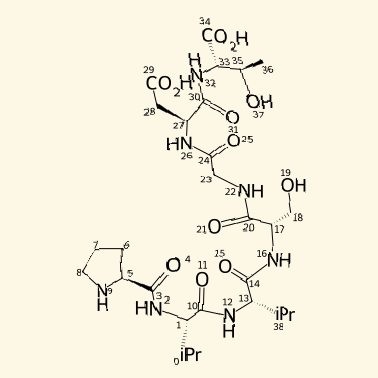 CC(C)[C@H](NC(=O)[C@@H]1CCCN1)C(=O)N[C@H](C(=O)N[C@@H](CO)C(=O)NCC(=O)N[C@@H](CC(=O)O)C(=O)N[C@H](C(=O)O)[C@@H](C)O)C(C)C